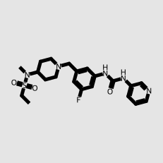 CCS(=O)(=O)N(C)C1CCN(Cc2cc(F)cc(NC(=O)Nc3cccnc3)c2)CC1